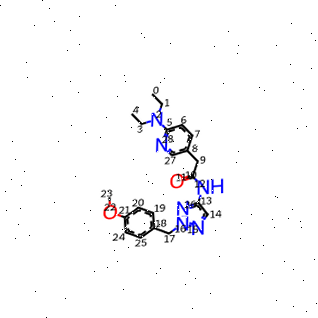 CCN(CC)c1ccc(CC(=O)Nc2cnn(Cc3ccc(OC)cc3)n2)cn1